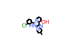 Cc1ccn2c(NCc3cccc(Cl)c3)c(-c3ncccc3O)nc2c1